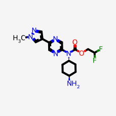 Cn1cc(-c2cnc(N(C(=O)OCC(F)F)[C@H]3CC[C@H](N)CC3)cn2)cn1